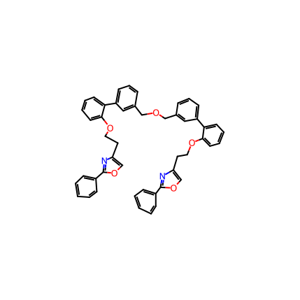 c1ccc(-c2nc(CCOc3ccccc3-c3cccc(COCc4cccc(-c5ccccc5OCCc5coc(-c6ccccc6)n5)c4)c3)co2)cc1